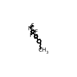 CCCCC1CCC(c2ccc(-c3c(F)cc(N=C=S)cc3F)cc2)CC1